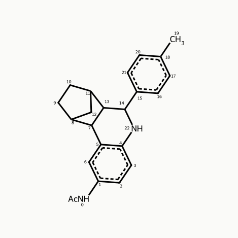 CC(=O)Nc1ccc2c(c1)C1C3CCC(C3)C1C(c1ccc(C)cc1)N2